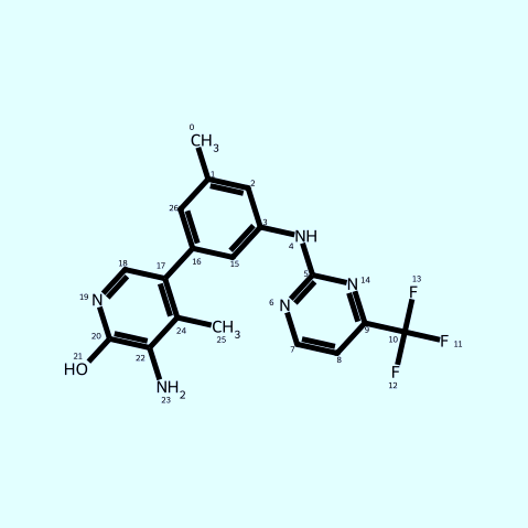 Cc1cc(Nc2nccc(C(F)(F)F)n2)cc(-c2cnc(O)c(N)c2C)c1